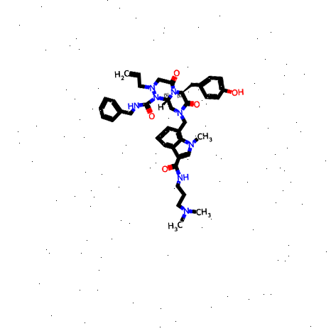 C=CCN1CC(=O)N2[C@@H](Cc3ccc(O)cc3)C(=O)N(Cc3cccc4c(C(=O)NCCCN(C)C)cn(C)c34)C[C@@H]2N1C(=O)NCc1ccccc1